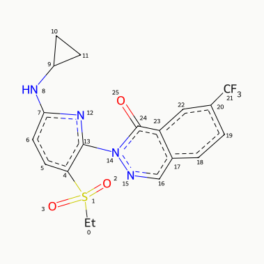 CCS(=O)(=O)c1ccc(NC2CC2)nc1-n1ncc2ccc(C(F)(F)F)cc2c1=O